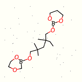 CCC(C)(COB1OCCCO1)CC(C)(C)COB1COCCO1